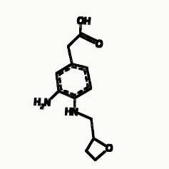 Nc1cc(CC(=O)O)ccc1NCC1CCO1